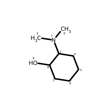 CN(C)C1CC[CH]CC1O